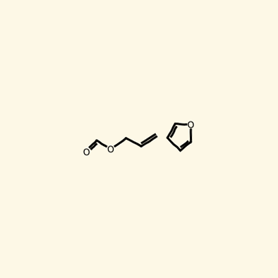 C=CCOC=O.c1ccoc1